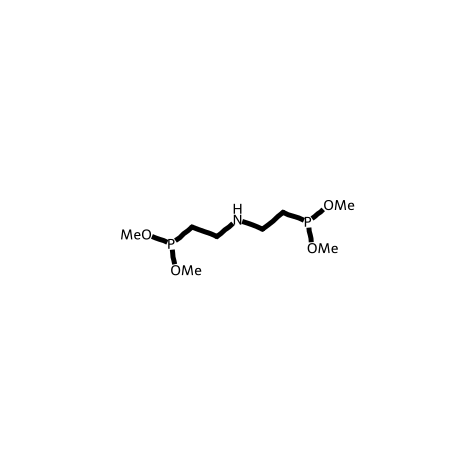 COP(CCNCCP(OC)OC)OC